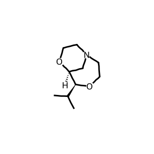 CC(C)[C@@H]1OCCN2CCO[C@H]1C2